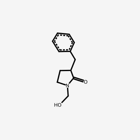 O=C1C(Cc2ccccc2)CCN1CO